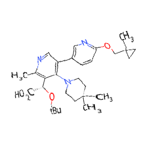 Cc1ncc(-c2ccc(OCC3(C)CC3)nc2)c(N2CCC(C)(C)CC2)c1[C@H](OC(C)(C)C)C(=O)O